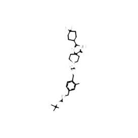 Cc1cc(CNC(=O)OC(C)(C)C)ccc1CCS(=O)(=O)N1CCC2(CC1)N=C(C1CCC(F)(F)CC1)NC2=O